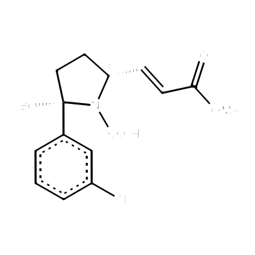 COC(=O)C=C[C@H]1CC[C@@](c2cccc(Cl)c2)(C(C)(C)C)N1C(=O)O